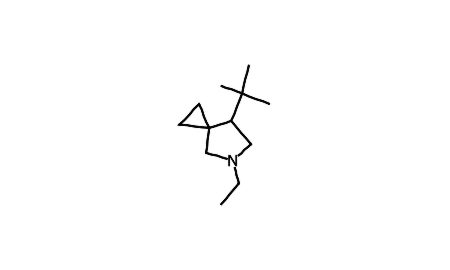 CCN1CC(C(C)(C)C)C2(CC2)C1